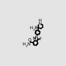 BC1(c2ccc(-n3nc4c(C(N)=O)cccc4c3F)cc2)CCCNC1